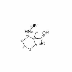 CCC(O)C1(C)CCCCC1NC(C)C